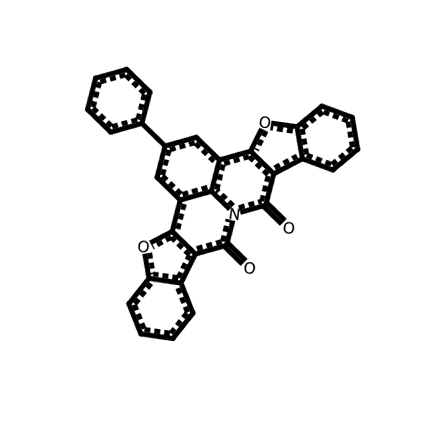 O=c1c2c3ccccc3oc2c2cc(-c3ccccc3)cc3c4oc5ccccc5c4c(=O)n1c23